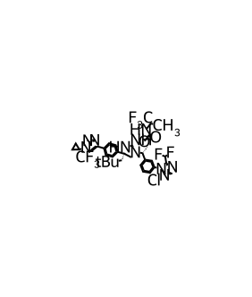 C[C@H](NC(=O)OC[C@H](c1ccc(Cl)c(-n2ncnc2C(F)F)c1)N1C[C@@](CC(C)(C)C)(c2ccc(-c3cn(C4(C(F)(F)F)CC4)nn3)cc2)NC1=N)C(F)(F)F